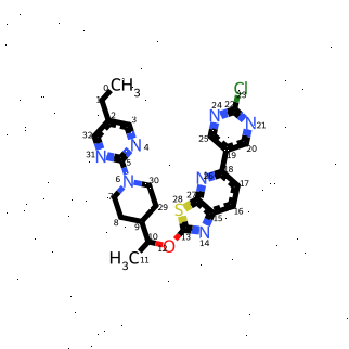 CCc1cnc(N2CCC(C(C)Oc3nc4ccc(-c5cnc(Cl)nc5)nc4s3)CC2)nc1